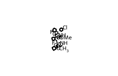 COC(=O)N[C@H](C(=O)Nc1cccc(F)c1CC[C@H]1CNC[C@H](C)N1S(=O)(=O)c1ccccc1)[C@@H](c1ccc(Cl)cc1)c1cccc(F)c1